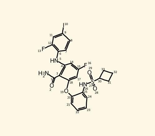 NC(=O)c1c(Nc2ccc(I)cc2F)cc(F)cc1Oc1ccccc1NS(=O)(=O)C1CCC1